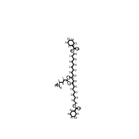 CN(C)CCCC(=O)OC(CCCCCCCCCOC(=O)C1CCCCC1)CCCCCCCCCOC(=O)C1CCCCC1